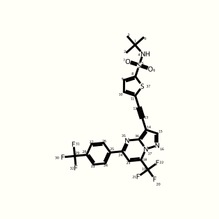 CC(C)(C)NS(=O)(=O)c1ccc(C#Cc2cnn3c(C(F)(F)F)cc(-c4ccc(C(F)(F)F)cc4)nc23)s1